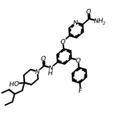 CCC(CC)CC1(O)CCN(C(=O)Nc2cc(Oc3ccc(F)cc3)cc(Oc3ccc(C(N)=O)nc3)c2)CC1